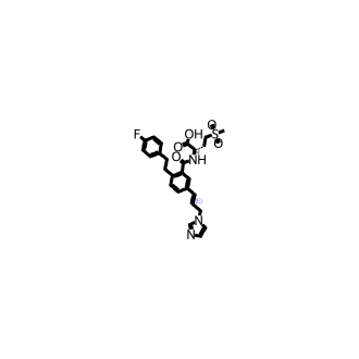 CS(=O)(=O)CC[C@H](NC(=O)c1cc(/C=C/Cn2ccnc2)ccc1CCc1ccc(F)cc1)C(=O)O